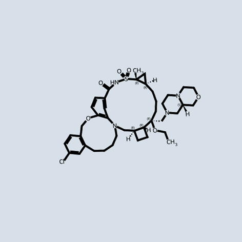 CCO[C@]1(CN2CCN3CCOC[C@@H]3C2)CCC[C@@H]2C[C@@]2(C)S(=O)(=O)NC(=O)c2ccc3c(c2)N(CCCCc2cc(Cl)ccc2CO3)C[C@@H]2CC[C@H]21